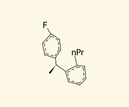 CCCc1ccccc1[C@@H](C)c1ccc(F)cc1